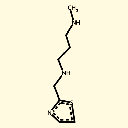 CNCCCNCc1nccs1